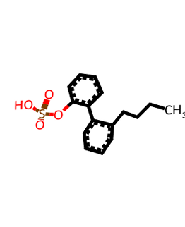 CCCCc1ccccc1-c1ccccc1OS(=O)(=O)O